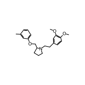 COc1ccc(CCN2CCCC2COc2cccc(C)c2)cc1OC